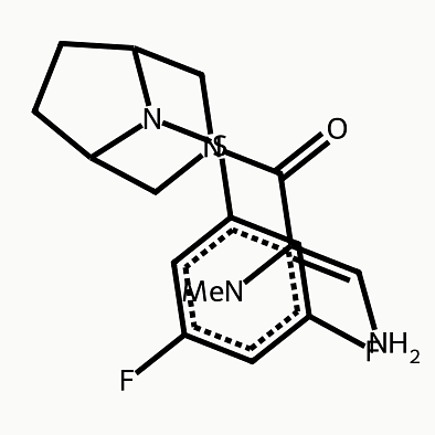 CN/C(=C\N)C(=O)N1CC2CCC(C1)N2Sc1cc(F)cc(F)c1